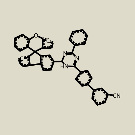 N#Cc1cccc(-c2ccc(C3=NC(c4ccccc4)=NC(c4ccc5c(c4)C4(c6ccccc6Oc6ccccc64)c4ccccc4-5)N3)cc2)c1